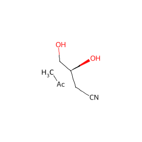 CC(C)=O.N#CC[C@H](O)CO